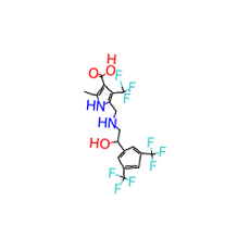 Cc1[nH]c(CNCC(O)c2cc(C(F)(F)F)cc(C(F)(F)F)c2)c(C(F)(F)F)c1C(=O)O